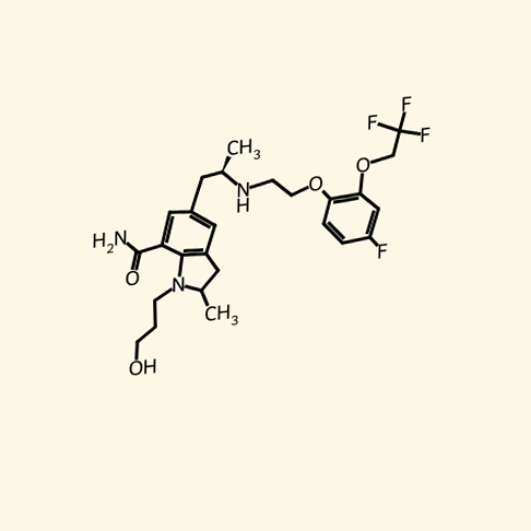 CC1Cc2cc(C[C@@H](C)NCCOc3ccc(F)cc3OCC(F)(F)F)cc(C(N)=O)c2N1CCCO